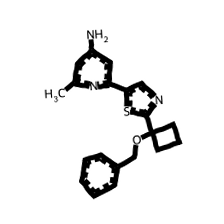 Cc1cc(N)cc(-c2cnc(C3(OCc4ccccc4)CCC3)s2)n1